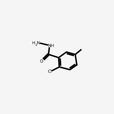 Cc1ccc(Cl)c(C(=O)NN)c1